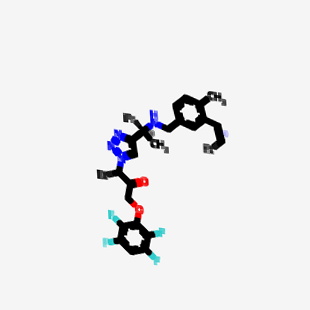 CC/C=C\c1cc(CN[C@](C)(c2cn(C(CC)C(=O)COc3c(F)c(F)cc(F)c3F)nn2)C(C)C)ccc1C